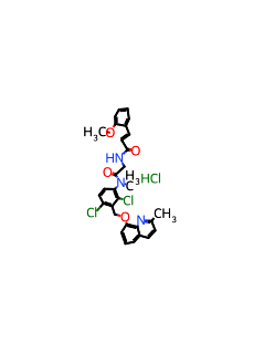 COc1ccccc1/C=C/C(=O)NCC(=O)N(C)c1ccc(Cl)c(COc2cccc3ccc(C)nc23)c1Cl.Cl